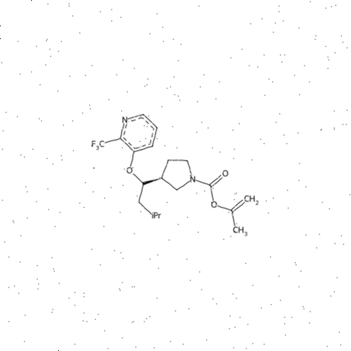 C=C(C)OC(=O)N1CC[C@H](C(CC(C)C)Oc2cccnc2C(F)(F)F)C1